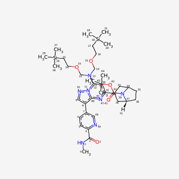 CNC(=O)c1ccc(-c2cnn3c(N(COCC[Si](C)(C)C)COCC[Si](C)(C)C)cc(C4CC5CC[C@H](C4)N5C(=O)OC(C)(C)C)nc23)cn1